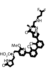 COc1nc(-c2cccc(-c3cccc(-c4cc5c(=O)n(C)c(CNCCC(F)F)nn5c4)c3Cl)c2Cl)ccc1CN(CC1CCC(=O)N1)C(=O)O